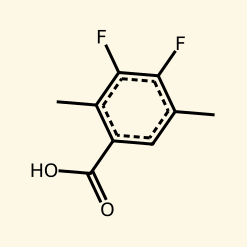 Cc1cc(C(=O)O)c(C)c(F)c1F